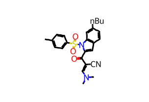 CCCCc1ccc2cc(C(=O)/C(C#N)=C/N(C)C)n(S(=O)(=O)c3ccc(C)cc3)c2c1